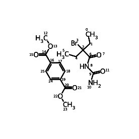 CCC(Br)(CC)C(=O)NC(N)=O.COC(=O)c1ccc(C(=O)OC)cc1